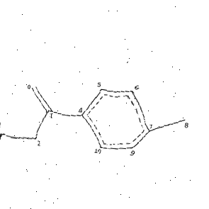 C=C(CC(C)C)c1ccc(C)cc1